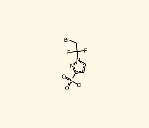 O=S(=O)(Cl)c1ccn(C(F)(F)CBr)n1